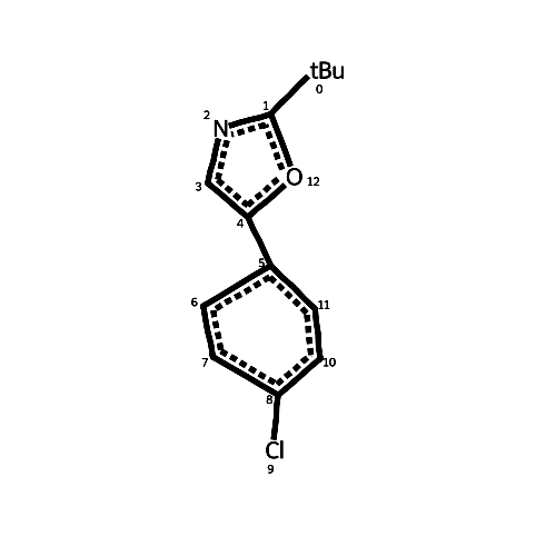 CC(C)(C)c1ncc(-c2ccc(Cl)cc2)o1